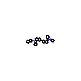 c1ccc(-n2c3ccccc3c3c4cc(-c5ccc6ccc7c(c6c5)c5ccccc5n7-c5ccc6ccccc6c5)ccc4ccc32)cc1